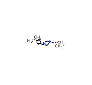 CC(C)CCCN1CCN(Cc2ccc(C(C)C)cc2)CC1